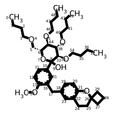 CCCCOC[C@H]1OC(O)(c2ccc(OC)c(Cc3ccc4c(c3)CCC3(CCC3)O4)c2)[C@H](OCCCC)[C@@H](OCCCC)[C@@H]1OCCCC